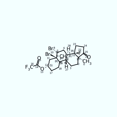 C[C@]12CC[C@H]3[C@@H](C[C@@H](Br)[C@@]4(Br)C[C@@H](OC(=O)C(F)(F)F)CC[C@]34C)[C@]1(F)CCC2=O